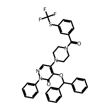 O=C(c1cccc(SC(F)(F)F)c1)N1CCN(c2cnn(-c3ccccc3)c(=O)c2OC(c2ccccc2)c2ccccc2)CC1